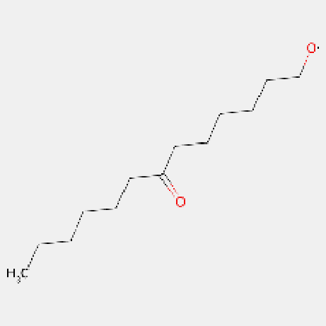 CCCCCCC(=O)CCCCCC[O]